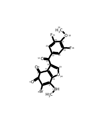 CBC1=C(Br)C(=O)C(=O)c2c(C(=O)c3cc(F)c(OC)c(F)c3)coc21